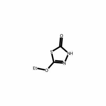 CCOc1n[nH]c(=O)s1